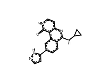 O=c1[nH]ccc2nc(NC3CC3)c3ccc(-c4ccn[nH]4)cc3c12